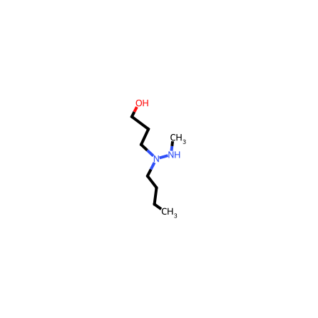 CCCCN(CCCO)NC